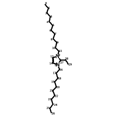 CCCCCCCCCCCCN1C=CN(CCCCCCCCCCC)C1CC